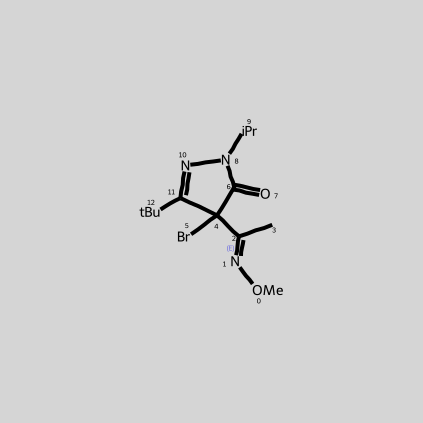 CO/N=C(\C)C1(Br)C(=O)N(C(C)C)N=C1C(C)(C)C